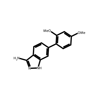 COc1ccc(-c2ccc3c(N)n[nH]c3c2)c(OC)c1